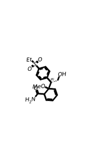 CCS(=O)(=O)c1ccc([C@H](CO)C2(OC)C=CC=CC2C(N)=O)cc1